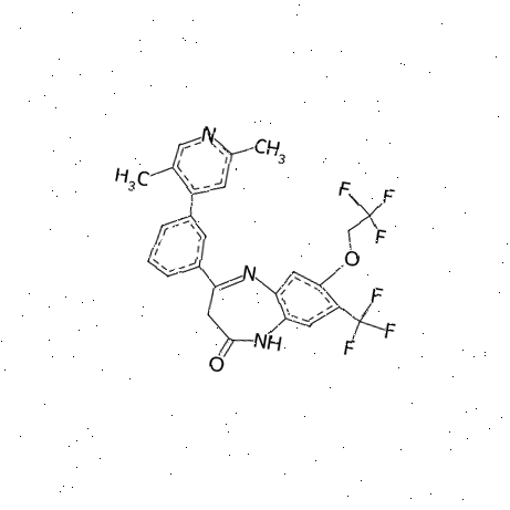 Cc1cc(-c2cccc(C3=Nc4cc(OCC(F)(F)F)c(C(F)(F)F)cc4NC(=O)C3)c2)c(C)cn1